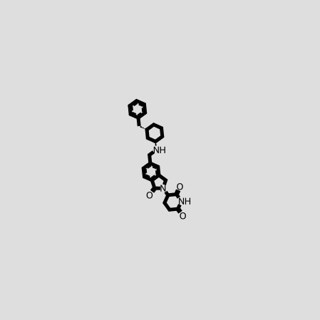 O=C1CCC(N2Cc3cc(CN[C@H]4CCC[C@@H](Cc5ccccc5)C4)ccc3C2=O)C(=O)N1